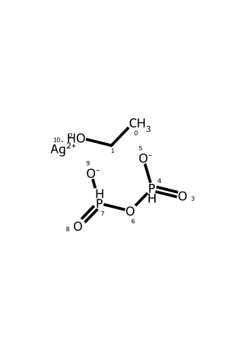 CCO.O=[PH]([O-])O[PH](=O)[O-].[Ag+2]